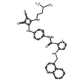 CN(C)CCNc1c(Nc2ccc(NC(=O)c3sccc3NCc3ccnc4ccccc34)cc2)c(=O)c1=O